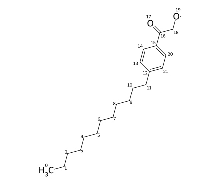 CCCCCCCCCCCCc1ccc(C(=O)C[O])cc1